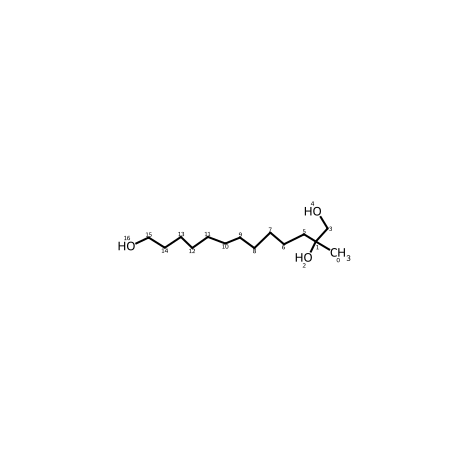 CC(O)(CO)CCCCCCCCCCCO